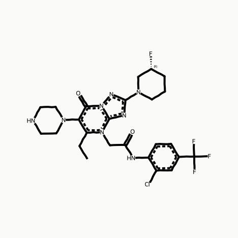 CCc1c(N2CCNCC2)c(=O)n2nc(N3CCC[C@@H](F)C3)nc2n1CC(=O)Nc1ccc(C(F)(F)F)cc1Cl